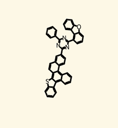 c1ccc(-c2nc(-c3ccc4c(ccc5c6sc7ccccc7c6c6ccccc6c45)c3)nc(-c3cccc4oc5ccccc5c34)n2)cc1